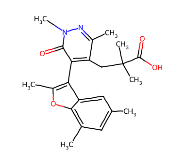 Cc1cc(C)c2oc(C)c(-c3c(CC(C)(C)C(=O)O)c(C)nn(C)c3=O)c2c1